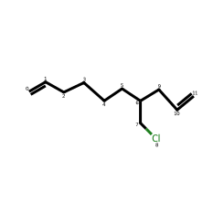 C=CCCCCC(CCl)CC=C